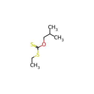 CCSC(=S)OCC(C)C